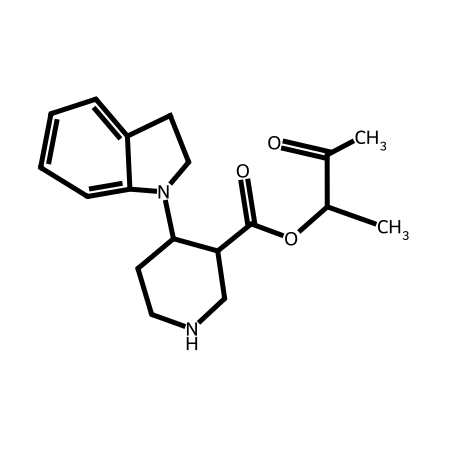 CC(=O)C(C)OC(=O)C1CNCCC1N1CCc2ccccc21